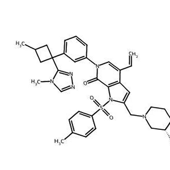 C=Cc1cn(-c2cccc(C3(c4nncn4C)CC(C)C3)c2)c(=O)c2c1cc(CN1CCC[C@H](C)C1)n2S(=O)(=O)c1ccc(C)cc1